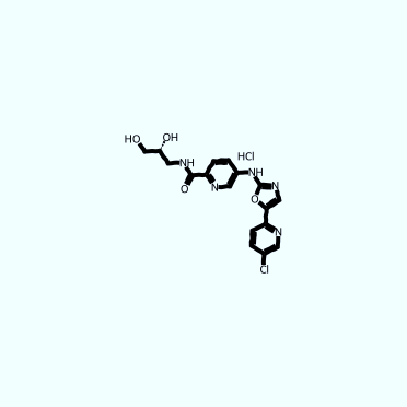 Cl.O=C(NC[C@@H](O)CO)c1ccc(Nc2ncc(-c3ccc(Cl)cn3)o2)cn1